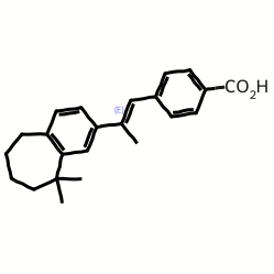 C/C(=C\c1ccc(C(=O)O)cc1)c1ccc2c(c1)C(C)(C)CCCC2